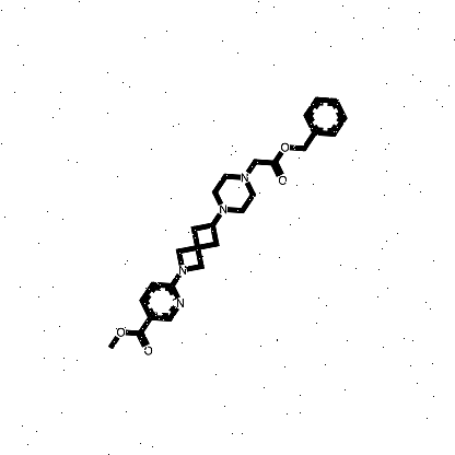 COC(=O)c1ccc(N2CC3(CC(N4CCN(CC(=O)OCc5ccccc5)CC4)C3)C2)nc1